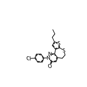 CCCc1cc2c(s1)SCCc1cc(=O)n(-c3ccc(Cl)cc3)nc1-2